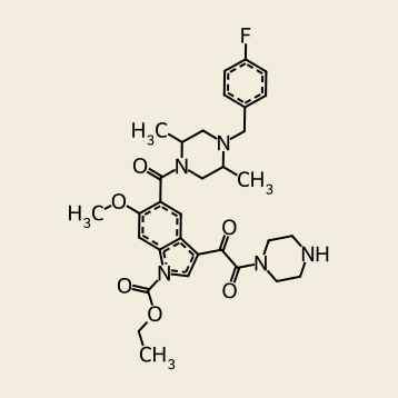 CCOC(=O)n1cc(C(=O)C(=O)N2CCNCC2)c2cc(C(=O)N3CC(C)N(Cc4ccc(F)cc4)CC3C)c(OC)cc21